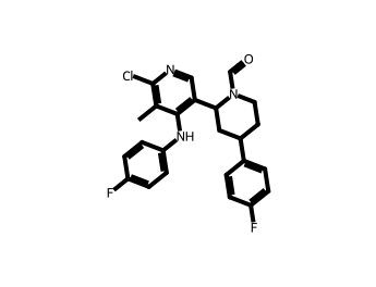 Cc1c(Cl)ncc(C2CC(c3ccc(F)cc3)CCN2C=O)c1Nc1ccc(F)cc1